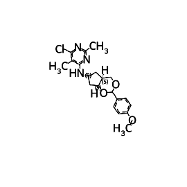 COc1ccc(C2OC[C@@H]3C[C@@H](Nc4nc(C)nc(Cl)c4C)C[C@@H]3O2)cc1